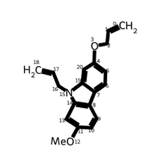 C=CCOc1ccc2c3ccc(OC)cc3n(CC=C)c2c1